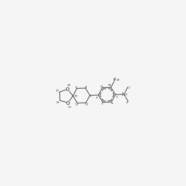 CN(C)c1ccc(C2CCC3(CC2)OCCO3)cc1F